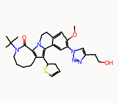 COc1cc2c(cc1-n1cc(CCO)nn1)-c1c(C3CC=CS3)c3c(n1CC2)C(=O)N(C(C)(C)C)CCCC3